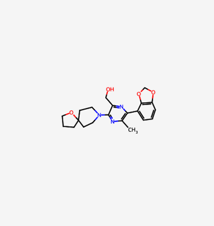 Cc1nc(N2CCC3(CCCO3)CC2)c(CO)nc1-c1cccc2c1OCO2